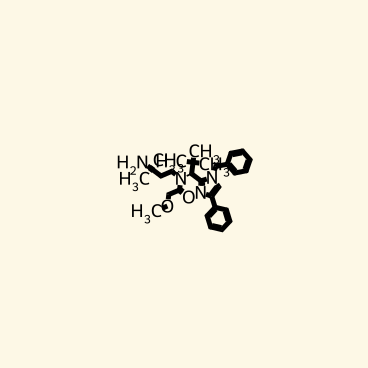 COCC(=O)N(CCC(C)(C)N)[C@@H](c1nc(-c2ccccc2)cn1Cc1ccccc1)C(C)(C)C